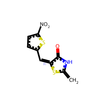 C=c1[nH]c(=O)/c(=C\c2ccc([N+](=O)[O-])s2)s1